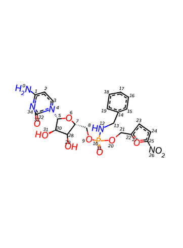 Nc1ccn([C@@H]2O[C@H](COP(=O)(NCc3ccccc3)OCc3ccc([N+](=O)[O-])o3)C(O)[C@H]2O)c(=O)n1